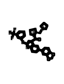 O=C(c1cc(Sc2cccc(C(F)(F)F)c2)nc2ccc(-c3ccc4c(c3)OCO4)cc12)N1CCC[C@H]1CN1CCCC1